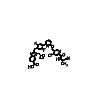 C[C@@H](C#N)NC(=O)c1cc(Cl)c(COc2cccc(-c3cc(F)c(Cc4nc5ccc(C(=O)O)cc5n4C[C@@H]4CCO4)cc3F)n2)cn1